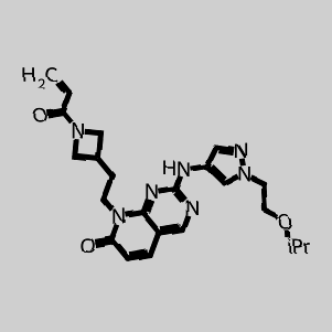 C=CC(=O)N1CC(CCn2c(=O)ccc3cnc(Nc4cnn(CCOC(C)C)c4)nc32)C1